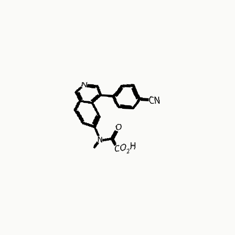 CN(C(=O)C(=O)O)c1ccc2cncc(-c3ccc(C#N)cc3)c2c1